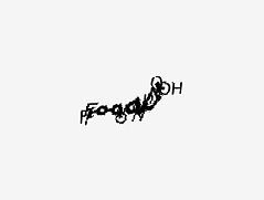 O=C(O)N1CCc2nc3cc(-n4ccc(-c5ccc(C(F)(F)F)cc5)cc4=O)ccn3c2C1